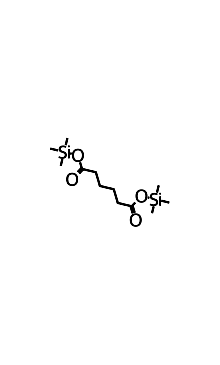 C[Si](C)(C)OC(=O)CCCCC(=O)O[Si](C)(C)C